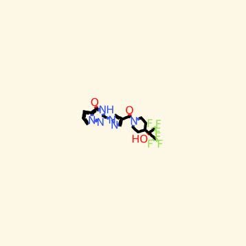 O=C(c1cnn(-c2nn3cccc3c(=O)[nH]2)c1)N1CCC(C(O)(C(F)(F)F)C(F)(F)F)CC1